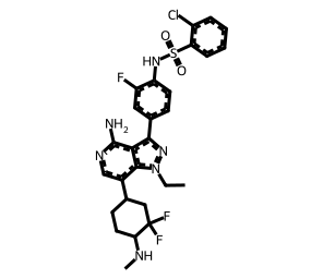 CCn1nc(-c2ccc(NS(=O)(=O)c3ccccc3Cl)c(F)c2)c2c(N)ncc(C3CCC(NC)C(F)(F)C3)c21